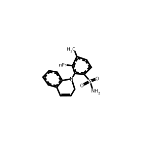 CCCc1c(C)ccc(S(N)(=O)=O)c1N1CC=Cc2ccccc21